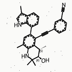 Cc1cc(-c2cccc3c(C)c[nH]c23)c(C#Cc2cccc(C#N)c2)c2c1NC(C)(C)[C@H](O)[C@H]2C